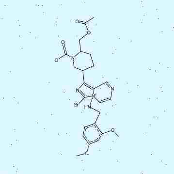 COc1ccc(CN[N+]23C=CN=CC2=C(C2CCC(COC(C)=O)N(C(=O)[O-])C2)N=C3Br)c(OC)c1